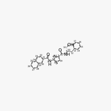 O=C(Nc1nc(C(=O)N[C@H](CO)Cc2ccccc2)cs1)c1ccc2ccccc2c1